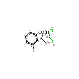 CC(C)CC(=O)O.Cc1ccccc1.ClCCl